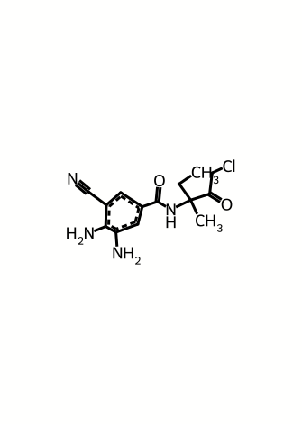 CCC(C)(NC(=O)c1cc(N)c(N)c(C#N)c1)C(=O)CCl